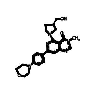 Cn1cnc2cc(-c3ccc(N4CCOCC4)cc3)nc(N3CC[C@@H](CO)C3)c2c1=O